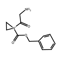 NCC(=O)[N+]1(C(=O)OCc2ccccc2)CC1